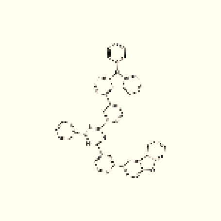 c1ccc(-c2nc(-c3cccc(-c4ccc5oc6ccccc6c5c4)c3)nc(-c3cccc(-c4cccc5c4c4ccccc4n5-c4ccccc4)c3)n2)cc1